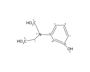 O=C(O)CN(C(=O)O)c1cccc(O)c1